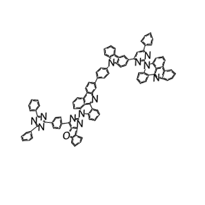 c1ccc(-c2cc(-c3ccc4c(c3)c3ccccc3n4-c3ccc(-c4ccc5c(c4)nc4c6c(cccc65)N(c5nc(-c6ccc(-c7nc(-c8ccccc8)nc(-c8ccccc8)n7)cc6)c6oc7ccccc7c6n5)c5ccccc5-4)cc3)nc(N3c4ccccc4-c4nc5ccccc5c5cccc3c45)n2)cc1